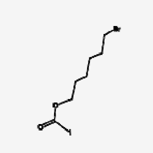 O=C(I)OCCCCCCBr